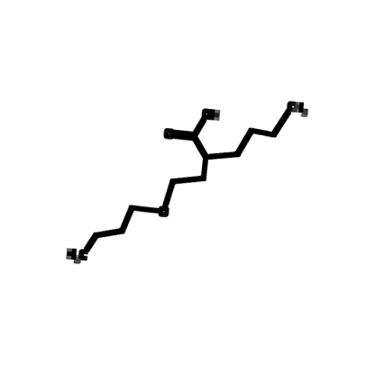 CCCCOCCC(CCCC)C(=O)O